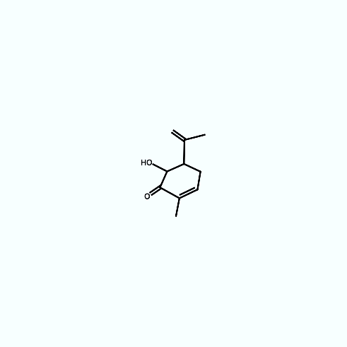 C=C(C)C1CC=C(C)C(=O)C1O